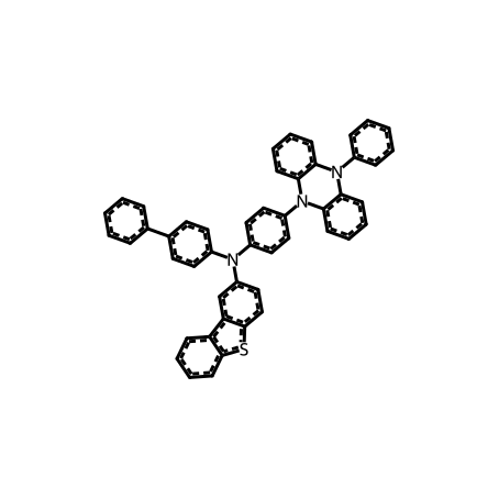 c1ccc(-c2ccc(N(c3ccc(N4c5ccccc5N(c5ccccc5)c5ccccc54)cc3)c3ccc4sc5ccccc5c4c3)cc2)cc1